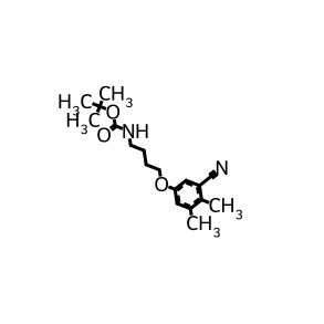 Cc1cc(OCCCCNC(=O)OC(C)(C)C)cc(C#N)c1C